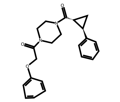 O=C(COc1ccccc1)N1CCN(C(=O)[C@@H]2C[C@H]2c2ccccc2)CC1